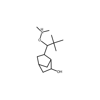 C[SiH](C)OC(C1CC2CC(O)C1C2)C(C)(C)C